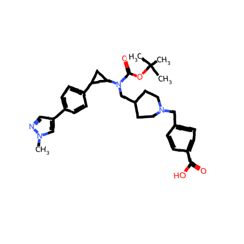 Cn1cc(-c2ccc(C3CC3N(CC3CCN(Cc4ccc(C(=O)O)cc4)CC3)C(=O)OC(C)(C)C)cc2)cn1